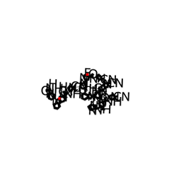 C[C@@H]1CN(c2cc(C(=O)N[C@@H]3CCN(C#N)C3)c(F)cn2)C[C@H](C)O1.N#CN1CCC(NC(=O)c2cc(N3Cc4ccccc4C3)ncc2F)C1.N#CN1CC[C@@H](NC(=O)N2CCc3c(n([C@@H]4CCCN(C(N)=O)NC4)c4ccccc34)C2)C1.N#CN1CC[C@@H](NC(=O)c2ccc(Nc3ncccn3)c(F)c2)C1